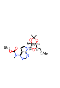 CSC[C@H]1O[C@@H](n2ccc3c(N(C)C(=O)OC(C)(C)C)ncnc32)[C@@H]2OC(C)(C)O[C@]12C